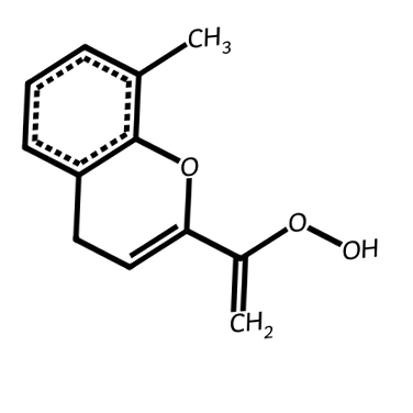 C=C(OO)C1=CCc2cccc(C)c2O1